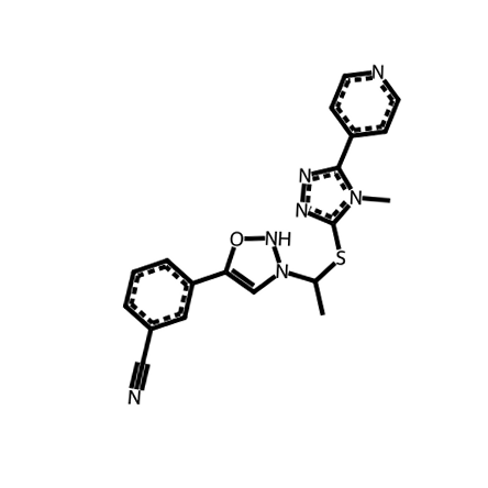 CC(Sc1nnc(-c2ccncc2)n1C)N1C=C(c2cccc(C#N)c2)ON1